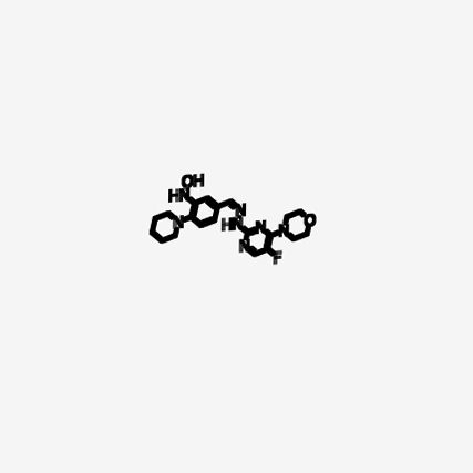 ONc1cc(/C=N\Nc2ncc(F)c(N3CCOCC3)n2)ccc1N1CCCCC1